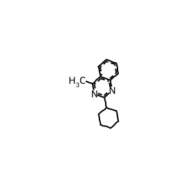 Cc1nc(C2CCCCC2)nc2ccccc12